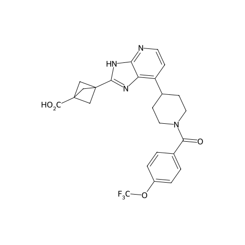 O=C(c1ccc(OC(F)(F)F)cc1)N1CCC(c2ccnc3[nH]c(C45CC(C(=O)O)(C4)C5)nc23)CC1